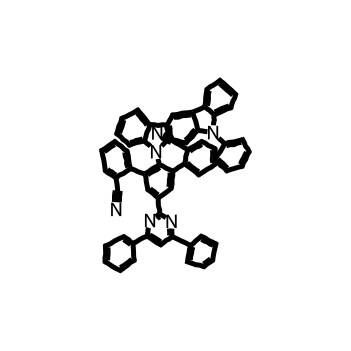 N#Cc1ccccc1-c1cc(-c2nc(-c3ccccc3)cc(-c3ccccc3)n2)cc(-c2ccccc2C#N)c1-n1c2ccccc2c2cc3c4ccccc4n(-c4ccccc4)c3cc21